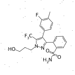 Cc1ccc(-c2c(-c3ccccc3S(N)(=O)=O)nn(CCCO)c2C(F)(F)F)cc1F